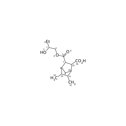 CCC(O)COC(=O)C1C2CC(C(C)C2C)C1C(=O)O